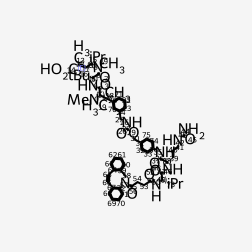 CN[C@H](C(=O)N[C@H](C(=O)N(C)[C@H](/C=C(\C)C(=O)O)C(C)C)C(C)(C)C)C(C)(C)c1cccc(CNC(=O)OCc2ccc(NC(=O)[C@H](CCCNC(N)=O)NC(=O)[C@@H](NC(=O)CCC(=O)N3Cc4ccccc4C#Cc4ccccc43)C(C)C)cc2)c1